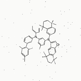 C=C/C(=C\C)N(c1cccc(-c2c(C)cc(C)cc2C)c1)c1cc(C)cc(N(c2ccc3c(c2)C(C)(C)CCC3(C)C)c2coc3cc4c(cc23)C(C)(C)CCC4(C)C)c1